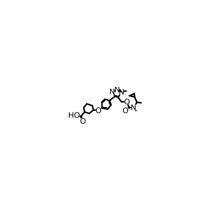 CC(C1CC1)N(C)C(=O)OCc1c(-c2ccc(OC3CCCC(C(=O)O)C3)cc2)nnn1C